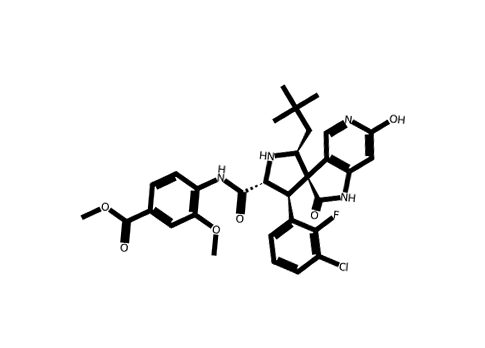 COC(=O)c1ccc(NC(=O)[C@@H]2N[C@@H](CC(C)(C)C)[C@@]3(C(=O)Nc4cc(O)ncc43)[C@H]2c2cccc(Cl)c2F)c(OC)c1